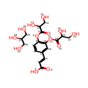 O=C(O)C=Cc1ccc(OC(=O)C(O)CO)c(OC(=O)C(O)CO)c1.OCC(O)CO